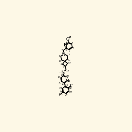 COc1cccc(CN2CCC3(CC2)CC(CNc2ccc(-c4cc(F)ccc4Cl)nn2)C3)n1